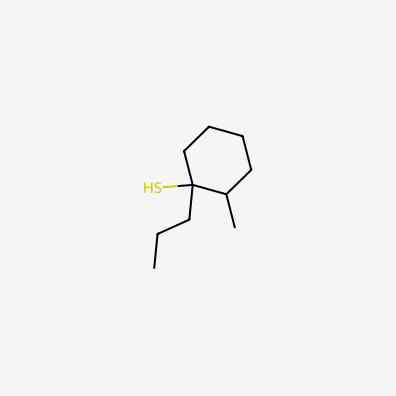 CCCC1(S)CCCCC1C